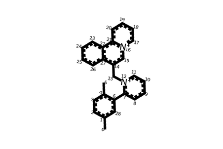 Cc1ccc(C)c(-c2cccc[n+]2Cc2c[n+]3ccccc3c3ccccc23)c1